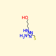 Nc1nc(C=S)nn1NCCCCCO